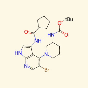 CC(C)(C)OC(=O)N[C@@H]1CCCN(c2c(Br)cnc3[nH]cc(NC(=O)C4CCCC4)c23)C1